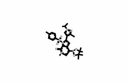 Cc1ccc(S(=O)(=O)n2c(-c3cn(C(C)C)nc3C)cc3c(B4OC(C)(C)C(C)(C)O4)cn(C)c(=O)c32)cc1